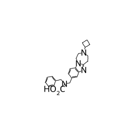 O=C(O)N(Cc1ccccc1)Cc1ccc2c(c1)nc1n2CCN(C2CCC2)CC1